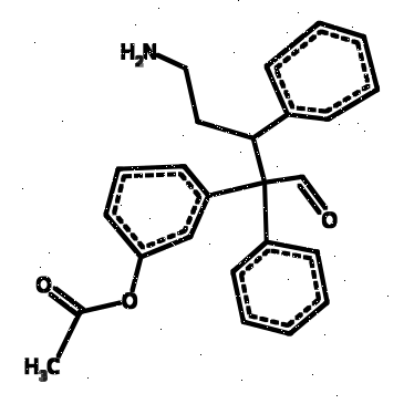 CC(=O)Oc1cccc(C(C=O)(c2ccccc2)C(CCN)c2ccccc2)c1